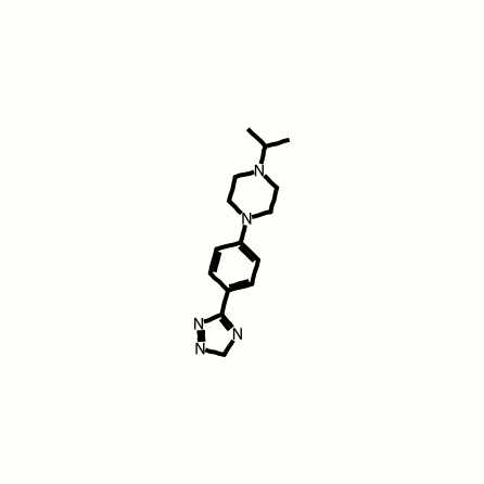 CC(C)N1CCN(c2ccc(C3=NCN=N3)cc2)CC1